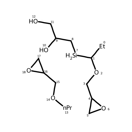 CCC(OCC1CO1)[SiH2]CC(O)CO.CCCOCC1CO1